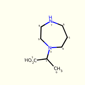 CC(C(=O)O)N1CCCNCC1